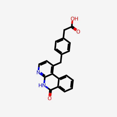 O=C(O)Cc1ccc(Cc2ccnc3[nH]c(=O)c4ccccc4c23)cc1